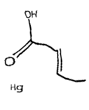 C/C=C/C(=O)O.[Hg]